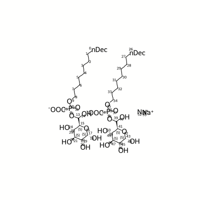 CCCCCCCCCCCCCCCCCCOP(=O)(OC(O)[C@H]1O[C@H](O)[C@H](O)[C@@H](O)[C@@H]1O)C(=O)[O-].CCCCCCCCCCCCCCCCCCOP(=O)(OC(O)[C@H]1O[C@H](O)[C@H](O)[C@@H](O)[C@@H]1O)C(=O)[O-].[Na+].[Na+]